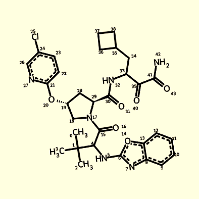 CC(C)(C)C(Nc1nc2ccccc2o1)C(=O)N1C[C@H](Oc2ccc(Cl)cn2)C[C@H]1C(=O)NC(CC1CCC1)C(=O)C(N)=O